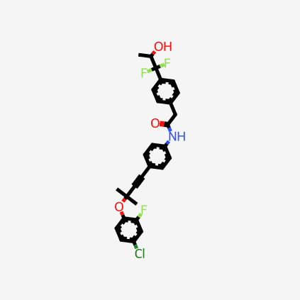 CC(O)C(F)(F)c1ccc(CC(=O)Nc2ccc(C#CC(C)(C)Oc3ccc(Cl)cc3F)cc2)cc1